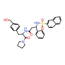 O=C(CC(NS(=O)(=O)c1ccc2ccccc2c1)c1ccccc1)NC(Cc1ccc(CO)cc1)C(=O)N1CCCC1